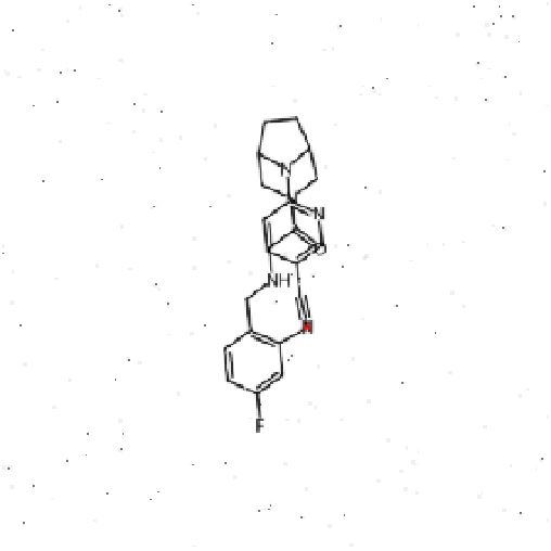 N#Cc1ccc(N2C3CCC2CN(C(=O)CNCc2ccc(F)cc2F)C3)nc1